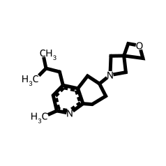 Cc1cc(CC(C)C)c2c(n1)CCC(N1CC3(COC3)C1)C2